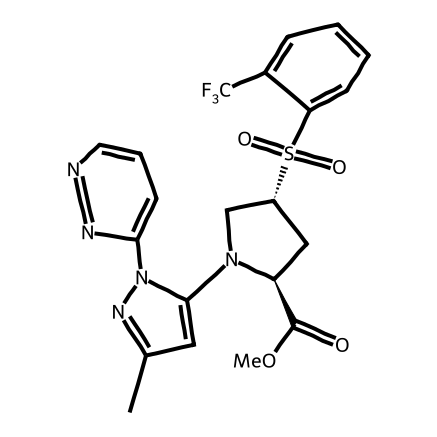 COC(=O)[C@@H]1C[C@@H](S(=O)(=O)c2ccccc2C(F)(F)F)CN1c1cc(C)nn1-c1cccnn1